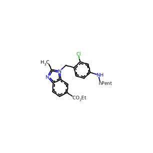 CCCCCNc1ccc(Cn2c(C)nc3ccc(C(=O)OCC)cc32)c(Cl)c1